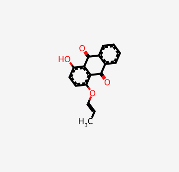 CC=COc1ccc(O)c2c1C(=O)c1ccccc1C2=O